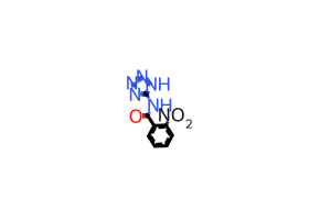 O=C(Nc1nnn[nH]1)c1ccccc1[N+](=O)[O-]